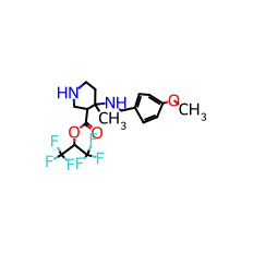 COc1ccc(CNC2(C)CCNCC2C(=O)OC(C(F)(F)F)C(F)(F)F)cc1